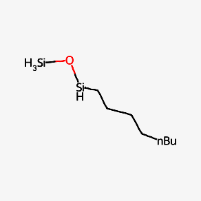 CCCCCCCC[SiH]O[SiH3]